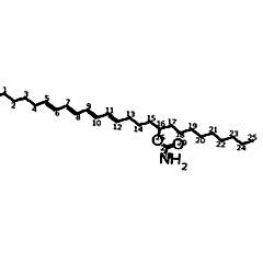 CCCCCC=CC=CC=CC=CCCCC(CCCCCCCCC)OC(N)=O